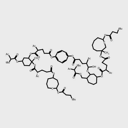 CC(=O)C(CCC(=O)OC1(C)CCCCCC(OC(=O)CCC(C)(C)C)CC1)C(=O)OC1CCCC(COC(=O)C(C(C)=O)C(C)(C)C)C(OC(O)C(CCC(=O)OC2=C/C=C\C(OC(=O)CCC(C(C)=O)C(=O)OC3CC(OC(=O)C(C(C)=O)C(C)(C)C)CCC3(C)OC(=O)[C@H](CCC(=O)OC3CCCCC(OC(=O)CCC(C)(C)C)CC3)C(C)=O)=C/C=C\2)C(C)=O)C1